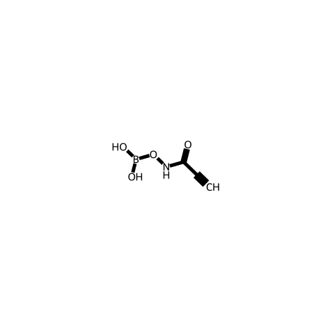 C#CC(=O)NOB(O)O